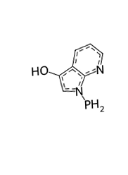 Oc1cn(P)c2ncccc12